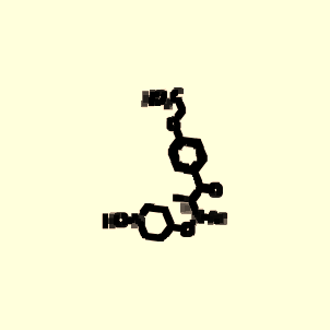 CC(=O)N(OC1CCN(O)CC1)[C@@H](C)C(=O)c1ccc(OCC(=O)O)cc1